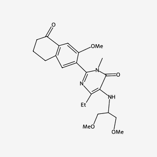 CCc1nc(-c2cc3c(cc2OC)C(=O)CCC3)n(C)c(=O)c1NC(COC)COC